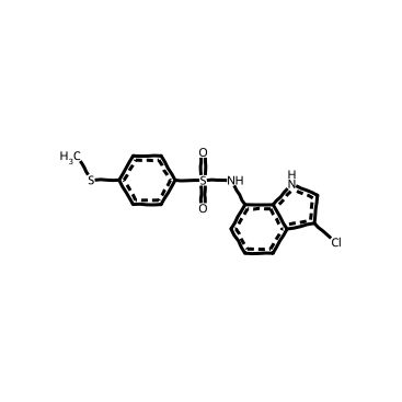 CSc1ccc(S(=O)(=O)Nc2cccc3c(Cl)c[nH]c23)cc1